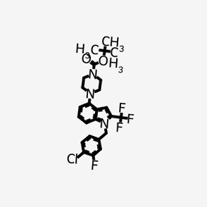 CC(C)(C)OC(=O)N1CCN(c2cccc3c2cc(C(F)(F)F)n3Cc2ccc(Cl)c(F)c2)CC1